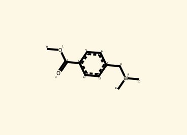 COC(=O)c1ccc([CH2][Bi]([CH3])[CH3])cc1